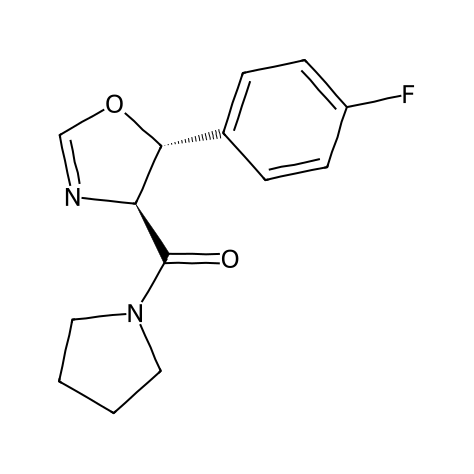 O=C([C@H]1N=CO[C@@H]1c1ccc(F)cc1)N1CCCC1